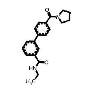 CCNC(=O)c1cccc(-c2ccc(C(=O)N3CCCC3)cc2)c1